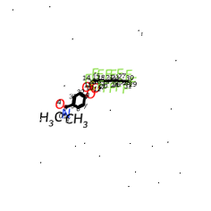 CN(C)C(=O)c1ccc(OS(=O)(=O)C(F)(F)C(F)(F)C(F)(F)C(F)(F)C(F)(F)C(F)(F)F)cc1